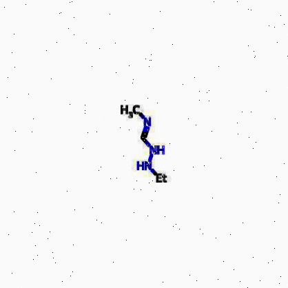 CCNN/C=N/C